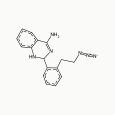 [N-]=[N+]=NCCc1ccccc1C1N=C(N)c2ccccc2N1